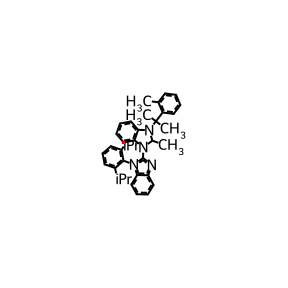 Cc1ccccc1C(C)(C)N1c2ccccc2N(c2nc3ccccc3n2-c2c(C(C)C)cccc2C(C)C)C1C